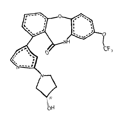 O=C1Nc2cc(OC(F)(F)F)ccc2Oc2cccc(-c3ccnc(N4CC[C@H](O)C4)c3)c21